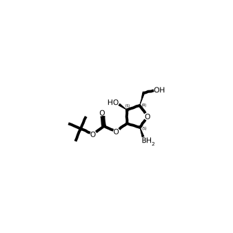 B[C@@H]1O[C@H](CO)[C@H](O)C1OC(=O)OC(C)(C)C